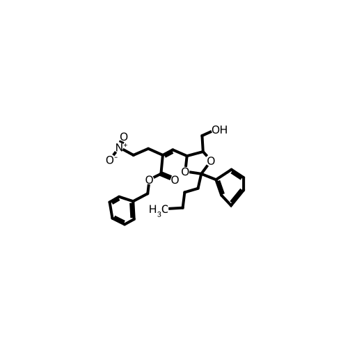 CCCCC1(c2ccccc2)OC(C=C(CC[N+](=O)[O-])C(=O)OCc2ccccc2)C(CO)O1